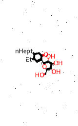 CCCCCCCC1CC(=O)C([C@@H]2O[C@H](CO)[C@@H](O)[C@H](O)[C@H]2O)=CC1CC